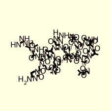 CC(=O)N[C@@H](CCCNC(=N)N)C(=O)NCC(=O)N1C[C@@H](COP(=O)(N(C)C)N2C[C@@H](COP(=O)(N(C)C)N3C[C@@H](COP(=O)(N(C)C)N4C[C@@H](COP(=O)(N(C)C)N5C[C@@H](COP(=O)(C(C)C)N(C)C)O[C@@H](n6cc(C)c(=O)[nH]c6=O)C5)O[C@@H](n5cc(C)c(=O)[nH]c5=O)C4)O[C@@H](n4cnc5c(=O)[nH]c(N)nc54)C3)O[C@@H](n3cc(C)c(=O)[nH]c3=O)C2)O[C@@H](n2ccc(N)nc2=O)C1